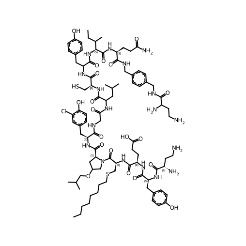 CCCCCCCCSC[C@H](NC(=O)[C@@H](CCC(=O)O)NC(=O)[C@H](Cc1ccc(O)cc1)NC(=O)[C@@H](N)CCN)C(=O)N1CC(OCC(C)C)C[C@H]1C(=O)N[C@@H](Cc1ccc(O)c(Cl)c1)C(=O)NCC(=O)NC(CC(C)C)C(=O)N[C@@H](CS)C(=O)NC(Cc1ccc(O)cc1)C(=O)N[C@H](C(=O)N[C@@H](CCC(N)=O)C(=O)NCc1ccc(CNC(=O)C(N)CCN)cc1)C(C)CC